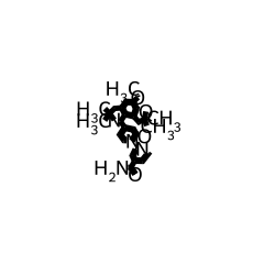 COc1cc2c(c3c1OC(C)(C)C3)C(c1ccn(-c3cc(C(N)=O)ccn3)c(=O)c1)=NC(C)(C)C2